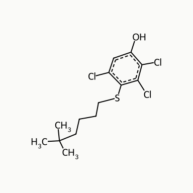 CC(C)(C)CCCCSc1c(Cl)cc(O)c(Cl)c1Cl